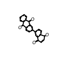 O=C1C=CC(=O)c2cc(-c3ccc4c(c3)C(=O)c3ccccc3C4=O)ccc21